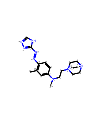 CCN(CC[N+]12CCN(CC1)CC2)c1ccc(N=Nc2nnc[nH]2)c(C)c1